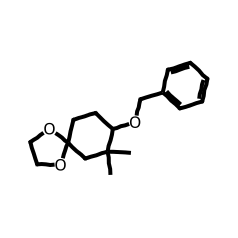 CC1(C)CC2(CCC1OCc1ccccc1)OCCO2